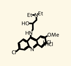 CCN(CC)CC(O)CNc1c2ccc(Cl)cc2nc2ccc(OC)cc12.Cl.Cl